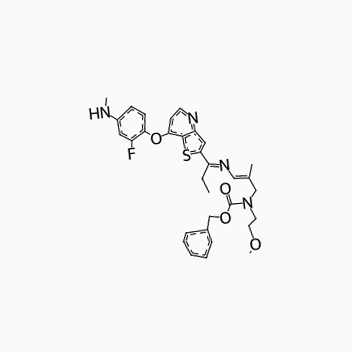 CC/C(=N\C=C(/C)CN(CCOC)C(=O)OCc1ccccc1)c1cc2nccc(Oc3ccc(NC)cc3F)c2s1